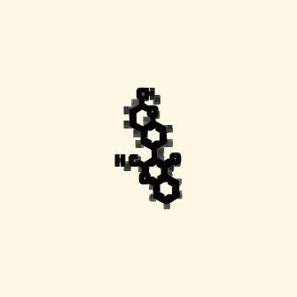 Cc1oc2ccccc2c(=O)c1-c1ccc2c(c1)C=CC(C)O2